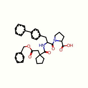 O=C(CC1(C(=O)NC(Cc2ccc(-c3ccccc3)cc2)C(=O)N2CCCC2C(=O)O)CCCC1)OCc1ccccc1